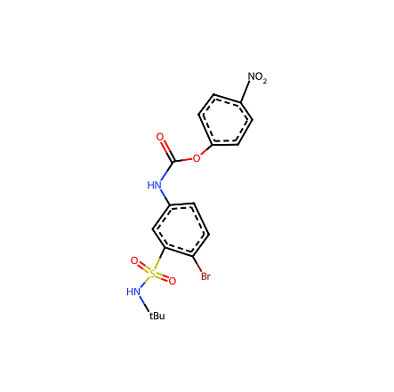 CC(C)(C)NS(=O)(=O)c1cc(NC(=O)Oc2ccc([N+](=O)[O-])cc2)ccc1Br